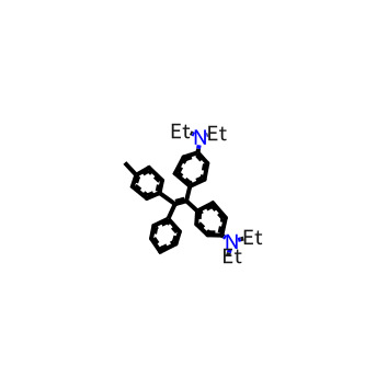 CCN(CC)c1ccc(C(=C(c2ccccc2)c2ccc(C)cc2)c2ccc(N(CC)CC)cc2)cc1